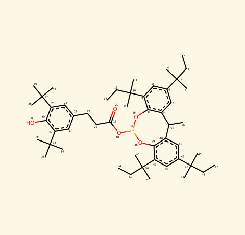 CCC(C)(C)c1cc2c(c(C(C)(C)CC)c1)OP(OC(=O)CCc1cc(C(C)(C)C)c(O)c(C(C)(C)C)c1)Oc1c(cc(C(C)(C)CC)cc1C(C)(C)CC)C2C